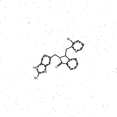 N#Cc1nc2cc(CN3C(=O)c4ccccc4C3Cc3ncccc3Br)ccc2[nH]1